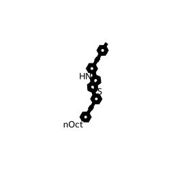 CCCCCCCCc1ccc(C#Cc2ccc3sc4c(ccc5c4ccc4c6cc(C#Cc7ccc(C)cc7)ccc6[nH]c45)c3c2)cc1